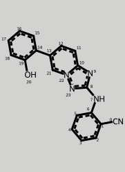 N#Cc1ccccc1Nc1nc2ccc(-c3ccccc3O)cn2n1